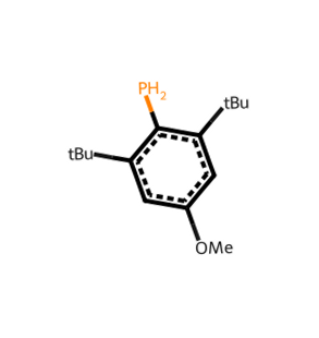 COc1cc(C(C)(C)C)c(P)c(C(C)(C)C)c1